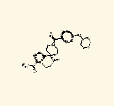 CN1CCn2c(C(=O)C(F)(F)F)ccc2C12CCN(C(=O)c1ccc(OC3CCOCC3)cc1)CC2